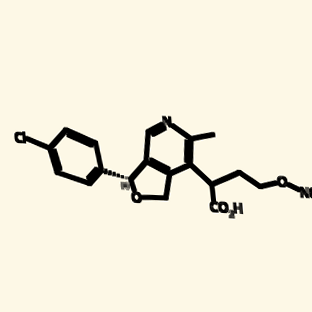 Cc1ncc2c(c1C(CCO[N+](=O)[O-])C(=O)O)CO[C@@H]2c1ccc(Cl)cc1